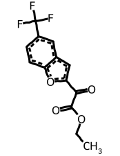 CCOC(=O)C(=O)c1cc2cc(C(F)(F)F)ccc2o1